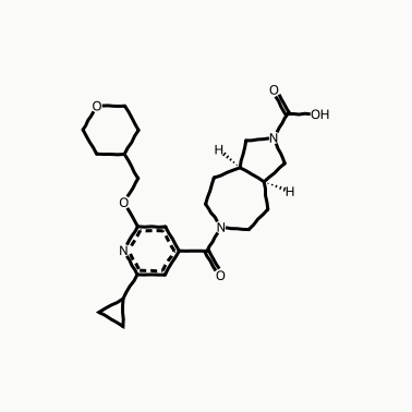 O=C(O)N1C[C@H]2CCN(C(=O)c3cc(OCC4CCOCC4)nc(C4CC4)c3)CC[C@H]2C1